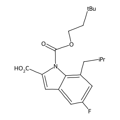 CC(C)Cc1cc(F)cc2cc(C(=O)O)n(C(=O)OCCC(C)(C)C)c12